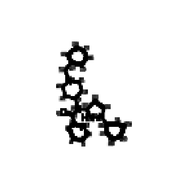 O=C(c1ccccn1)N(C1CCN(Cc2ccccc2)CC1)C1C=CN(c2ccccc2)N1